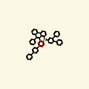 c1ccc(-c2ccc(-c3ccc(N(c4ccc(-c5ccccc5)c(-c5ccccc5)c4)c4cccc5c4c(-c4ccccc4)c(-c4ccccc4)c4ccccc45)cc3)cc2)cc1